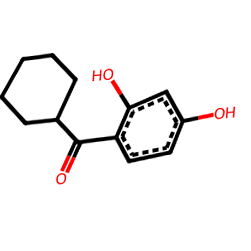 O=C(c1ccc(O)cc1O)C1CCCCC1